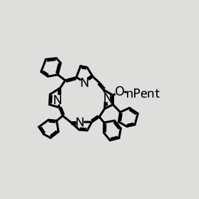 CCCCCOC1=C(c2ccccc2)C2=NC1=CC1=NC(=C(c3ccccc3)C3=NC(=C(c4ccccc4)C4=NC(=C2c2ccccc2)C=C4)C=C3)C=C1